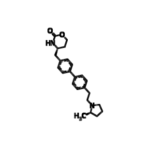 C[C@@H]1CCCN1CCc1ccc(-c2ccc(C[C@@H]3CCOC(=O)N3)cc2)cc1